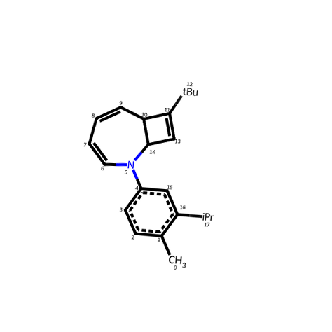 Cc1ccc(N2C=CC=CC3C(C(C)(C)C)=CC32)cc1C(C)C